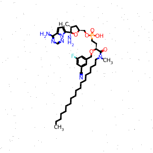 CCCCCCCCCCCCCCCCCCN(C)C(=O)[C@H](CCP(=O)(O)OC[C@@H]1C[C@@H](C)[C@](N)(c2ccc3c(N)ncnn23)O1)OCc1cc(F)cc(C#N)c1